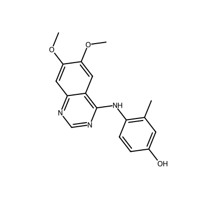 COc1cc2ncnc(Nc3ccc(O)cc3C)c2cc1OC